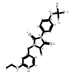 CCOc1cc(CN2C(=O)N(c3ccc(OC(F)(F)F)cc3)C(=O)C2C)ccn1